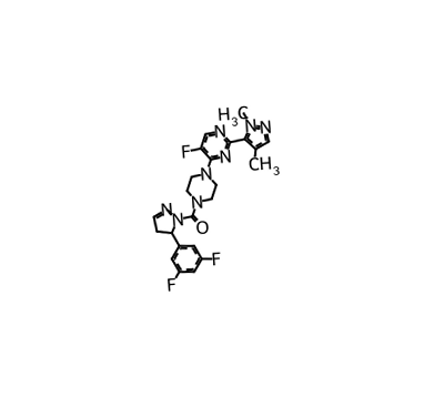 Cc1cnn(C)c1-c1ncc(F)c(N2CCN(C(=O)N3N=CCC3c3cc(F)cc(F)c3)CC2)n1